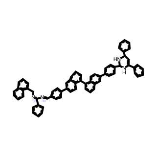 C1=C(c2ccccc2)NC(c2ccc(-c3ccc4c(-c5cccc6cc(-c7ccc(/C=N/C(=N\Cc8cccc9ccccc89)c8ccccc8)cc7)ccc56)cccc4c3)cc2)NC1c1ccccc1